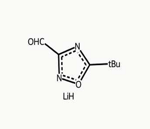 CC(C)(C)c1nc(C=O)no1.[LiH]